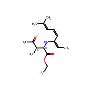 C/C=C(\C=C/C=C(C)C)N[C@@H](C(=O)OCC)[C@@H](C)C(C)=O